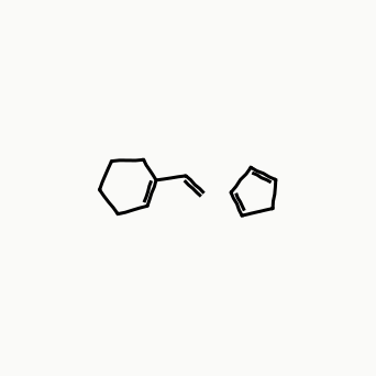 C1=CCC=C1.C=CC1=CCCCC1